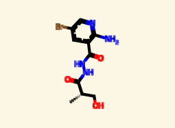 C[C@@H](CO)C(=O)NNC(=O)c1cc(Br)cnc1N